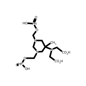 CC1(N(CC(=O)O)CC(=O)O)CN(CO[PH](=O)O)CN(CO[PH](=O)O)C1